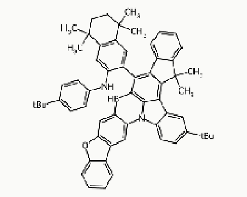 CC(C)(C)c1ccc(Nc2cc3c(cc2-c2c4c(c5c6cc(C(C)(C)C)ccc6n6c5c2Bc2cc5oc7ccccc7c5cc2-6)C(C)(C)c2ccccc2-4)C(C)(C)CCC3(C)C)cc1